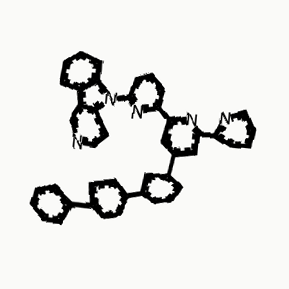 c1ccc(-c2ccc(-c3cccc(-c4cc(-c5ccccn5)nc(-c5cccc(-n6c7ccccc7c7cnccc76)n5)c4)c3)cc2)cc1